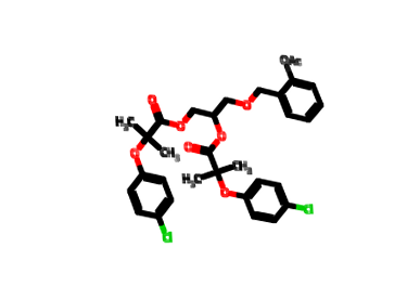 CC(=O)Oc1ccccc1COCC(COC(=O)C(C)(C)Oc1ccc(Cl)cc1)OC(=O)C(C)(C)Oc1ccc(Cl)cc1